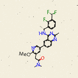 COc1ncc(-c2ccc3nc(C)nc(N[C@H](C)c4cccc(C(F)F)c4F)c3c2)cc1CC(=O)N(C)C